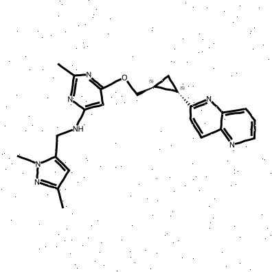 Cc1cc(CNc2cc(OC[C@H]3C[C@@H]3c3ccc4ncccc4n3)nc(C)n2)n(C)n1